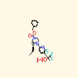 CC#C[C@H]1CN(C(=O)OCc2ccccc2)CCN1c1ccc(C(C)(O)C(F)(F)F)cn1